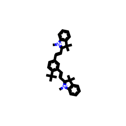 C[N+]1=C(/C=C/c2ccc(C(C)(C)C)c(/C=C/C3=[N+](C)c4ccccc4C3(C)C)c2)C(C)(C)c2ccccc21